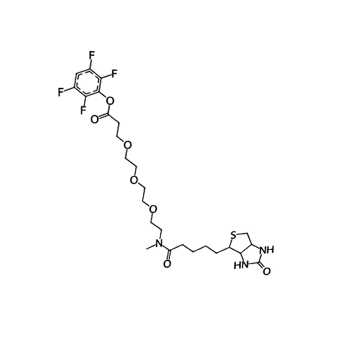 CN(CCOCCOCCOCCC(=O)Oc1c(F)c(F)cc(F)c1F)C(=O)CCCCC1SCC2NC(=O)NC21